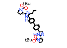 C=CCc1nc([C@@H]2CCCN2C(=O)OC(C)(C)C)[nH]c1-c1ccc(-c2ccc(C3CN=C([C@@H]4CCCN4C(=O)OC(C)(C)C)N3)cc2)cc1